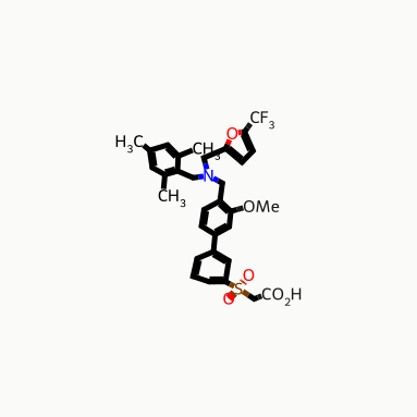 COc1cc(-c2cccc(S(=O)(=O)CC(=O)O)c2)ccc1CN(Cc1ccc(C(F)(F)F)o1)Cc1c(C)cc(C)cc1C